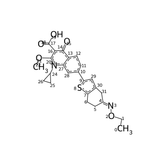 CCON=C1CCc2sc(-c3ccc4c(=O)c(C(=O)O)c(OC)n(C5CC5)c4c3)cc2C1